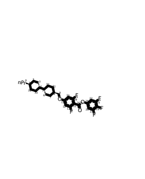 CCC[C@H]1CC[C@H]([C@H]2CC[C@H](COc3cc(F)c(C(=O)Oc4cc(F)c(F)c(F)c4)c(F)c3)CC2)CC1